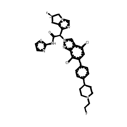 O=C(Nc1nccs1)C(c1ncn2c1C[C@@H](F)C2)n1cc2c(Cl)cc(-c3ccc(C4CCN(CCF)CC4)cc3)c(Cl)c2n1